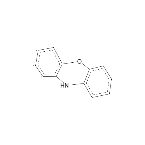 [c]1[c]cc2c([c]1)Nc1ccccc1O2